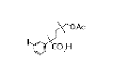 CC(=O)OCC(C)(C)CCC(C)(C(=O)O)c1cccc(I)c1